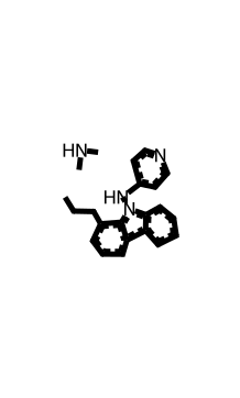 CCCc1cccc2c3ccccc3n(Nc3ccncc3)c12.CNC